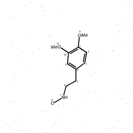 COc1ccc(CCNCl)cc1OC